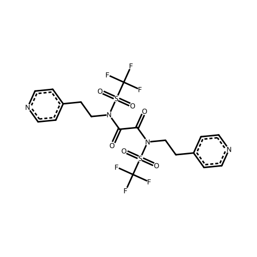 O=C(C(=O)N(CCc1ccncc1)S(=O)(=O)C(F)(F)F)N(CCc1ccncc1)S(=O)(=O)C(F)(F)F